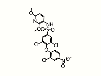 COc1ccc(NS(=O)(=O)c2cc(Cl)c(Oc3ccc([N+](=O)[O-])cc3Cl)c(Cl)c2)c(OC)n1